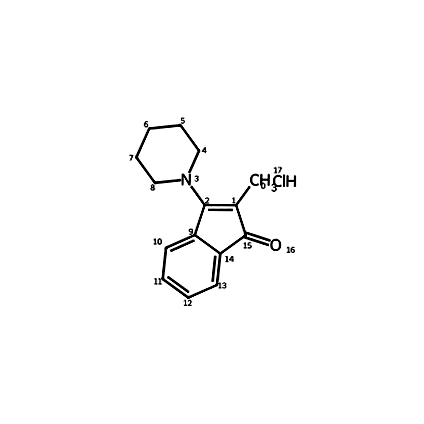 CC1=C(N2CCCCC2)c2ccccc2C1=O.Cl